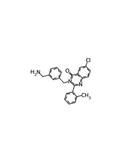 Cc1ccccc1-c1nc2ccc(Cl)cc2c(=O)n1Cc1cccc(CN)c1